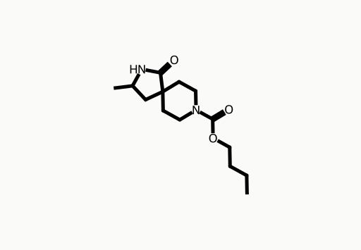 CCCCOC(=O)N1CCC2(CC1)CC(C)NC2=O